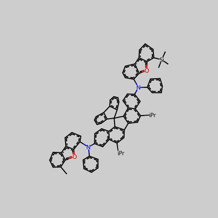 Cc1cccc2c1oc1c(N(c3ccccc3)c3ccc4c5c(cc(C(C)C)c4c3)-c3cc(C(C)C)c4cc(N(c6ccccc6)c6cccc7c6oc6c([Si](C)(C)C)cccc67)ccc4c3C53c4ccccc4-c4ccccc43)cccc12